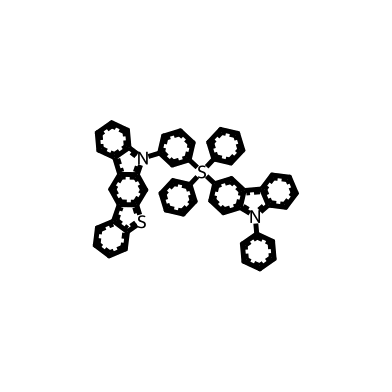 c1ccc(-n2c3ccccc3c3cc(S(c4ccccc4)(c4ccccc4)c4cccc(-n5c6ccccc6c6cc7c(cc65)sc5ccccc57)c4)ccc32)cc1